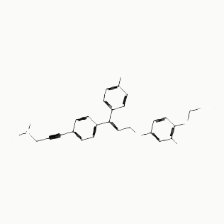 Cc1cc(OCC=C(c2ccc(C#CCN(C)C)cc2)c2ccc(C(F)(F)F)cc2)ccc1OCC(=O)O